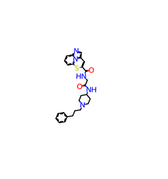 O=C(CNC(=O)C1=Cc2cnc3cccc(n23)S1)NC1CCN(CCCc2ccccc2)CC1